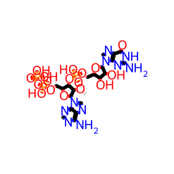 COC1C(OP(=O)(O)OCC2OC(n3cnc4c(=O)[nH]c(N)nc43)C(O)C2O)C(COP(=O)(O)OP(=O)(O)O)OC1n1cnc2c(N)ncnc21